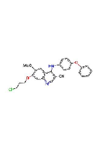 COc1cc2c(Nc3ccc(Oc4ccccc4)cc3)c(C#N)cnc2cc1OCCCCl